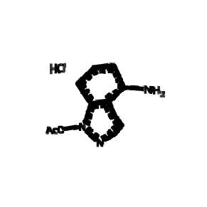 CC(=O)On1ncc2c(N)cccc21.Cl